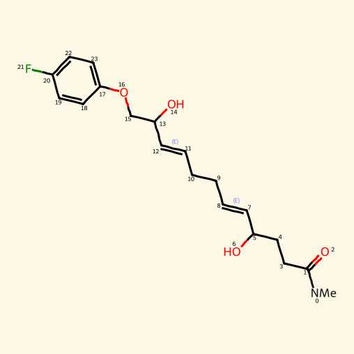 CNC(=O)CCC(O)/C=C/CC/C=C/C(O)COc1ccc(F)cc1